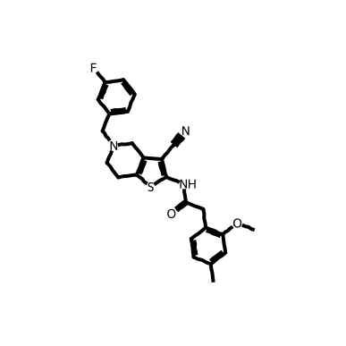 COc1cc(C)ccc1CC(=O)Nc1sc2c(c1C#N)CN(Cc1cccc(F)c1)CC2